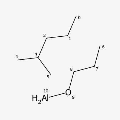 CCCC(C)C.CCC[O][AlH2]